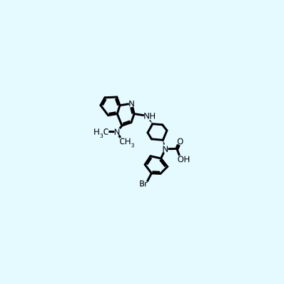 CN(C)c1cc(N[C@H]2CC[C@@H](N(C(=O)O)c3ccc(Br)cc3)CC2)nc2ccccc12